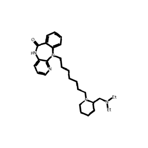 CCN(CC)CC1CCCCN1CCCCCCCN1c2ccccc2C(=O)Nc2cccnc21